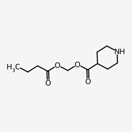 CCCC(=O)OCOC(=O)C1CCNCC1